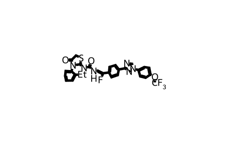 CCc1ccccc1N1C(=O)CS/C1=N\C(=O)N/C=C(\F)c1ccc(-c2ncn(-c3ccc(OC(F)(F)F)cc3)n2)cc1